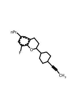 CC#CC1CCC(C2CCc3cc(CCC)cc(F)c3O2)CC1